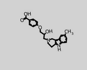 Cc1ccc2[nH]c3c(c2c1)CN(CC(O)COc1ccc(C(=O)O)cc1)CC3